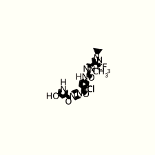 Cl.Cn1c(-c2cn(C3CC3)nc2C(F)(F)F)cnc1C(=O)Nc1ccc(C(=O)N2CCN(C(=O)C3CNCC(O)C3)CC2)c(Cl)c1